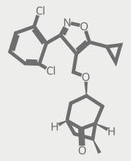 C[C@H]1C[C@@H]2C[C@@H](OCc3c(-c4c(Cl)cccc4Cl)noc3C3CC3)C[C@H]1C2=O